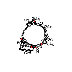 C=C(Cl)/C=C/C(O)CC(=C)C[C@H]1O[C@@H]2[C@H](C)[C@@](C)(OC(=O)C[C@H]3C[C@H](OC(C)=O)C[C@@]4(C[C@@](C)(O)C[C@H](CC(=C)C(C)[C@H](OC(C)=O)[C@@H](C)C(=O)C[C@@H]5C[C@@H](OC)CC6(C[C@@H](O)C[C@@H](/C=C\CCC[C@H]7O[C@](O)(C[C@H](O)[C@H]7C)[C@H]2O)O6)O5)O4)O3)[C@@H]1O